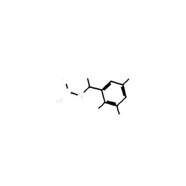 CC(N[S@@+]([O-])C(C)(C)C)c1cc(Br)cc(F)c1F